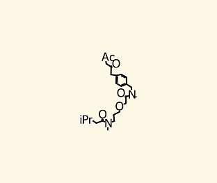 CC(=O)CC(=O)Cc1ccc(CN(C)C(=O)COCCCN(C)C(=O)CC(C)C)cc1